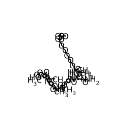 CCc1c2c(nc3ccc(OC(=O)N(C)CCN(C)C(=O)OCc4ccc(NC(=O)[C@H](CCCNC(N)=O)NC(=O)[C@@H](NC(=O)CCOCCOCCOCCOCCOCCC(=O)ON5C(=O)CCC5=O)C(C)C)cc4)cc13)-c1cc3c(c(=O)n1C2)COC(=O)[C@]3(O)CC